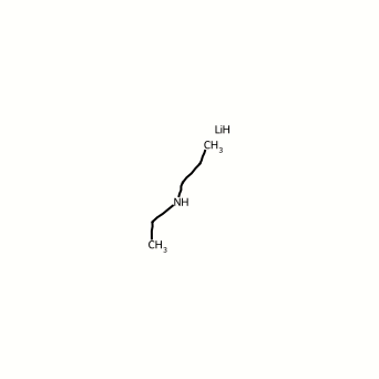 CCCNCC.[LiH]